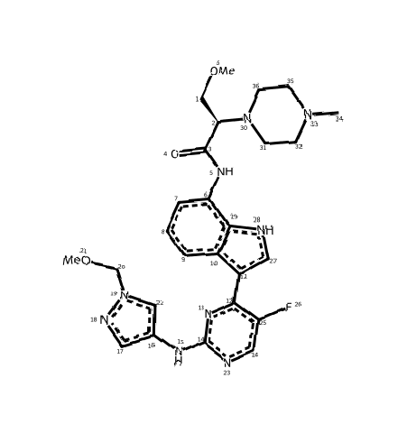 COC[C@H](C(=O)Nc1cccc2c(-c3nc(Nc4cnn(COC)c4)ncc3F)c[nH]c12)N1CCN(C)CC1